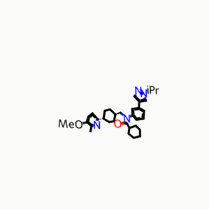 COc1ccc([C@H]2CC[C@H](CN(C(=O)C3CCCCC3)c3cccc(-c4cnn(C(C)C)c4)c3)CC2)nc1C